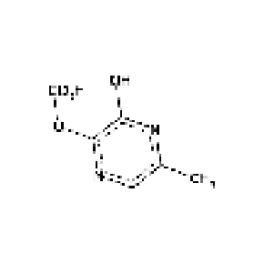 Cc1cnc(OC(=O)O)c(O)n1